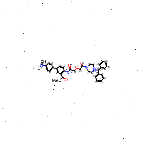 COC(=O)c1cc(-c2ccc(N(C)C)cc2)ccc1NC(=O)COCC(=O)N1CCN(C(c2ccccc2)c2ccccc2)CC1